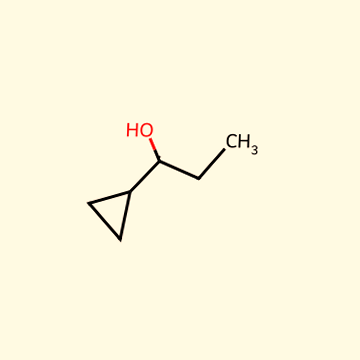 CC[C](O)C1CC1